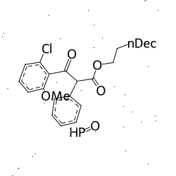 CCCCCCCCCCCCOC(=O)C(C(=O)c1c(Cl)cccc1OC)c1ccccc1.O=P